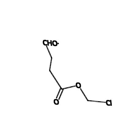 O=[C]CCC(=O)OCCl